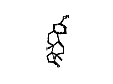 C[C@]12CC=C3c4ccc(O)cc4CC[C@H]3[C@@H]1CCC2=O